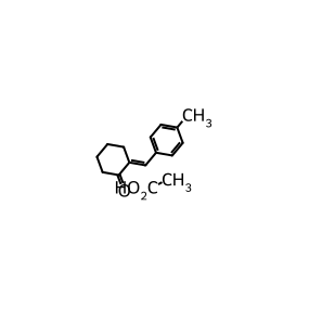 CC(=O)O.Cc1ccc(C=C2CCCCC2=O)cc1